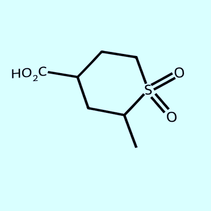 CC1CC(C(=O)O)CCS1(=O)=O